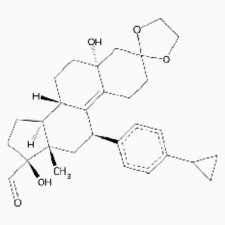 C[C@]12C[C@H](c3ccc(C4CC4)cc3)C3=C4CCC5(C[C@]4(O)CC[C@H]3[C@@H]1CC[C@@]2(O)C=O)OCCO5